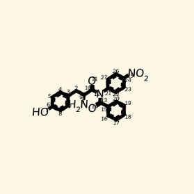 N[C@@H](Cc1ccc(O)cc1)C(=O)N(C(=O)c1ccccc1)c1ccc([N+](=O)[O-])cc1